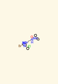 O=C(NCCCCNc1cc(-c2ccccc2Cl)nc2c(Br)cnn12)Nc1ccccc1-c1ccccc1